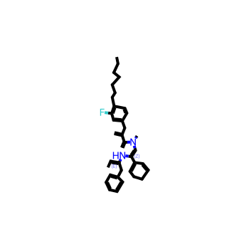 C=C(Cc1ccc(CCCCCCC)c(F)c1)C(=C)N(C)/C=C(\N/C(=C/C)Cc1ccccc1)C1=CCCC=C1